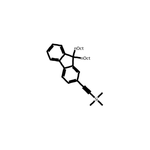 CCCCCCCCC1(CCCCCCCC)c2ccccc2-c2ccc(C#C[Si](C)(C)C)cc21